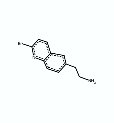 NCCc1ccc2nc(Br)ccc2c1